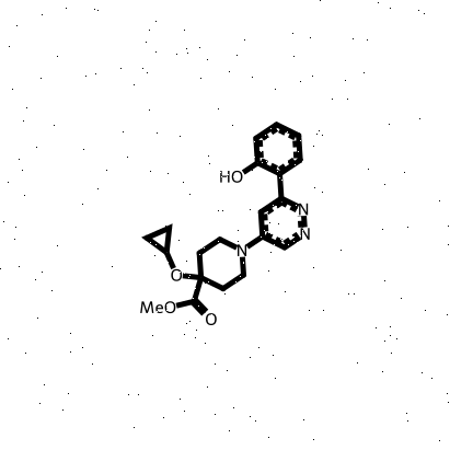 COC(=O)C1(OC2CC2)CCN(c2cnnc(-c3ccccc3O)c2)CC1